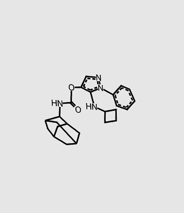 O=C(NC1C2CC3CC(C2)CC1C3)Oc1cnn(-c2ccccc2)c1NC1CCC1